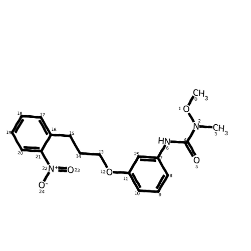 CON(C)C(=O)Nc1cccc(OCCCc2ccccc2[N+](=O)[O-])c1